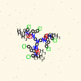 COc1c(C(=O)N(C)c2ccc(Cl)cc2C)cc2ccc3c(c2c1N=Nc1ccc(N(c2ccc(N=Nc4c(OC)c(C(=O)N(C)c5ccc(Cl)cc5C)cc5ccc6c(c45)Cc4ccc(Cl)cc4-6)cc2)c2ccc(N=Nc4c(OC)c(C(=O)N(C)c5ccc(Cl)cc5C)cc5ccc6c(c45)Cc4ccc(Cl)cc4-6)cc2)cc1)Cc1ccc(Cl)cc1-3